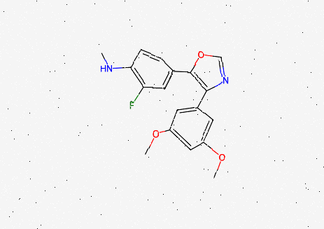 CNc1ccc(-c2ocnc2-c2cc(OC)cc(OC)c2)cc1F